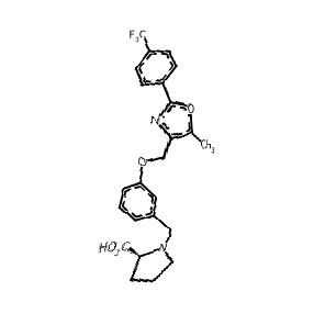 Cc1oc(-c2ccc(C(F)(F)F)cc2)nc1COc1cccc(CN2CCC[C@H]2C(=O)O)c1